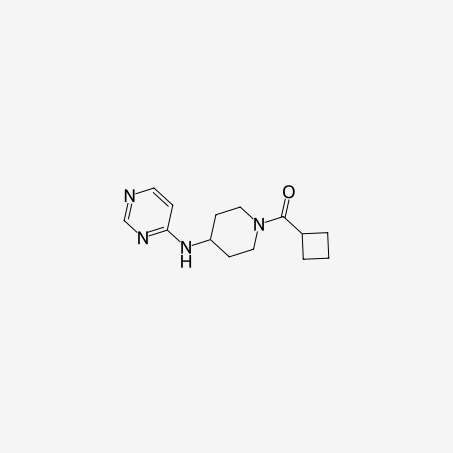 O=C(C1CCC1)N1CCC(Nc2ccncn2)CC1